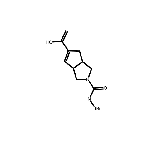 C=C(O)C1=CC2CN(C(=O)NC(C)(C)C)CC2C1